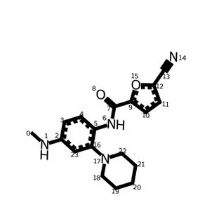 CNc1ccc(NC(=O)c2ccc(C#N)o2)c(N2CCCCC2)c1